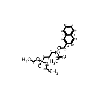 CCOP(=O)(CCCN(OCc1ccc2ccccc2c1)C(C)=O)OCC